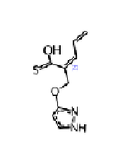 C=C/C=C(/COc1cc[nH]n1)C(O)=S